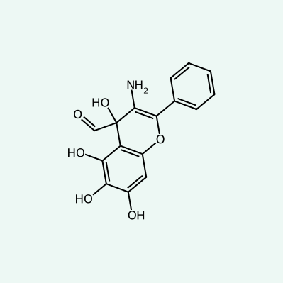 NC1=C(c2ccccc2)Oc2cc(O)c(O)c(O)c2C1(O)C=O